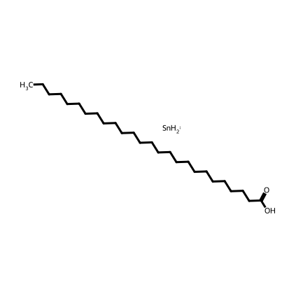 CCCCCCCCCCCCCCCCCCCCCCCCCC(=O)O.[SnH2]